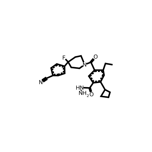 CCc1cc(C2CCC2)c(C(=O)NN)cc1C(=O)N1CCC(F)(c2ccc(C#N)cc2)CC1